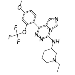 CCN1CCCC(Nc2nnc(-c3ccc(OC)cc3OC(F)(F)F)c3cncn23)C1